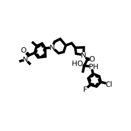 Cc1cc(N2CCC(CC3CN(C(=O)C(C)(O)Pc4cc(F)cc(Cl)c4)C3)CC2)ccc1C(=O)N(C)C